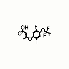 CC(=CC(=O)O)Oc1cc(F)c(OC(F)(F)F)cc1I